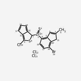 CC1=Cc2[c]([Zr+2](=[S])[CH]3SC(Cl)=C4C=CC=C43)ccc(Br)c2C1.[Cl-].[Cl-]